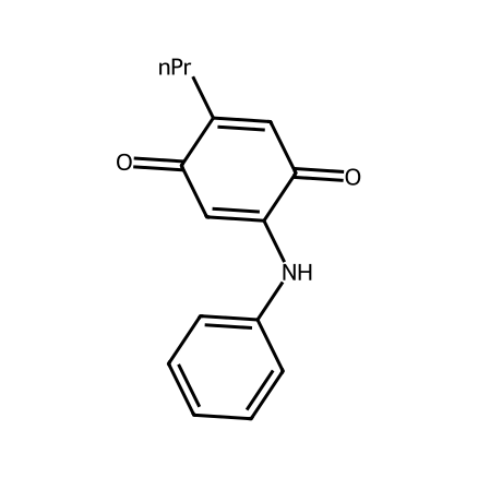 CCCC1=CC(=O)C(Nc2ccccc2)=CC1=O